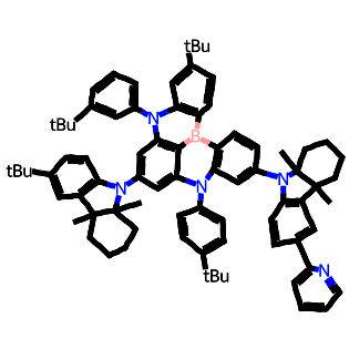 CC(C)(C)c1ccc(N2c3cc(N4c5ccc(-c6ccccn6)cc5C5(C)CCCCC45C)ccc3B3c4ccc(C(C)(C)C)cc4N(c4cccc(C(C)(C)C)c4)c4cc(N5c6ccc(C(C)(C)C)cc6C6(C)CCCCC56C)cc2c43)cc1